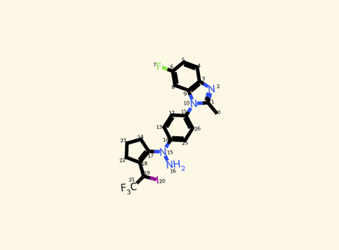 Cc1nc2ccc(F)cc2n1-c1ccc(N(N)C2=C(C(I)C(F)(F)F)CCC2)cc1